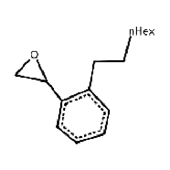 CCCCCCCCc1ccccc1C1CO1